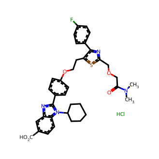 CN(C)C(=O)COCc1nc(-c2ccc(F)cc2)c(CCOc2ccc(-c3nc4cc(C(=O)O)ccc4n3C3CCCCC3)cc2)s1.Cl